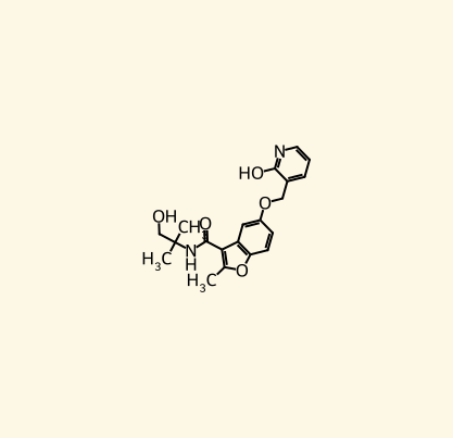 Cc1oc2ccc(OCc3cccnc3O)cc2c1C(=O)NC(C)(C)CO